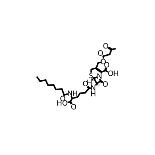 CCCCCCCC(=O)NC(CCCC(=O)N[C@@H]1C(=O)N2C(C(=O)O)=C(COC(=O)CC(C)=O)CS[C@@H]12)C(=O)O